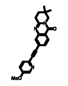 COc1ccc(C#Cc2ccc3c(=O)n4c(nc3c2)CCC(C)(C)C4)nc1